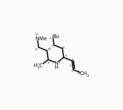 C/C=C/C(CCC(C)CC)NC(C)CCNC